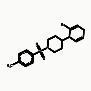 Cc1ccc(S(=O)(=O)N2CCC(C3C=CCC=C3Br)CC2)cc1